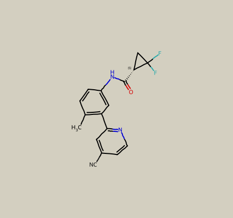 Cc1ccc(NC(=O)[C@@H]2CC2(F)F)cc1-c1cc(C#N)ccn1